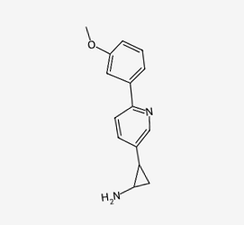 COc1cccc(-c2ccc(C3CC3N)cn2)c1